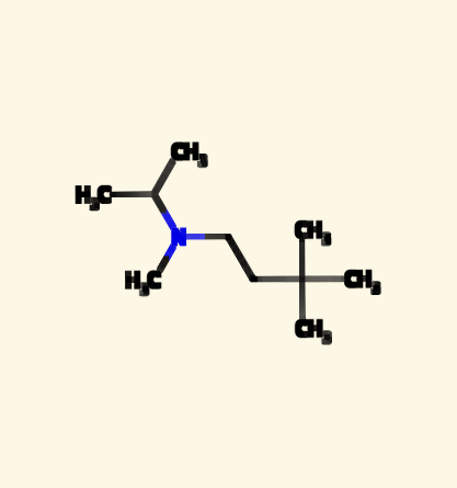 CC(C)N(C)CCC(C)(C)C